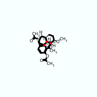 CO[C@]12CC[C@@]3(C[C@@H]1C(C)=O)[C@H]1Cc4ccc(OC(C)=O)c5c4[C@@]3(CCN1C(C)=O)[C@H]2O5